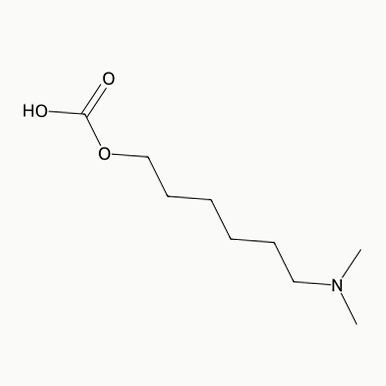 CN(C)CCCCCCOC(=O)O